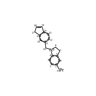 CC(C)c1ccc2c(c1)CCN2Cc1ccc2c(c1)CC=C2